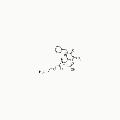 CCCOCC(=O)N[C@@H](CC(=O)O)C(=O)N[C@@H](Cc1ccccc1)C(=O)OC